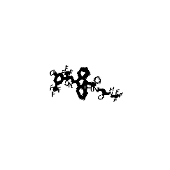 O=C(CNC(=O)c1c2ccccc2c(C2=NOC(c3cc(Cl)cc(C(F)(F)F)c3)(C(F)(F)F)C2)c2ccccc12)NCC(F)(F)F